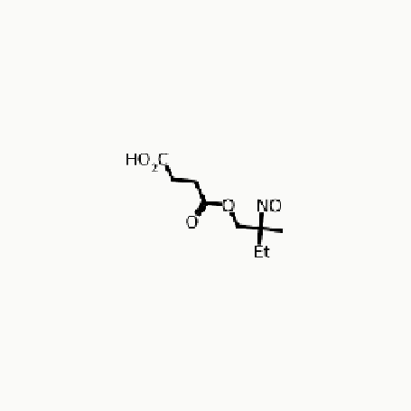 CCC(C)(COC(=O)CCC(=O)O)N=O